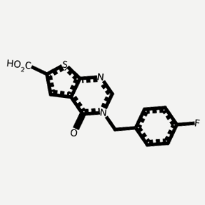 O=C(O)c1cc2c(=O)n(Cc3ccc(F)cc3)cnc2s1